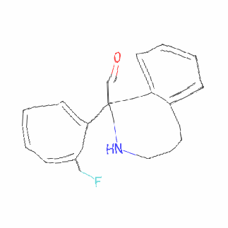 O=CC1(c2ccccc2F)NCCc2ccccc21